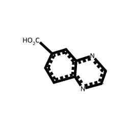 O=C(O)c1ccc2n[c]cnc2c1